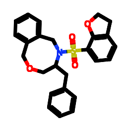 O=S(=O)(c1cccc2c1OCC2)N1Cc2ccccc2COCC1Cc1ccccc1